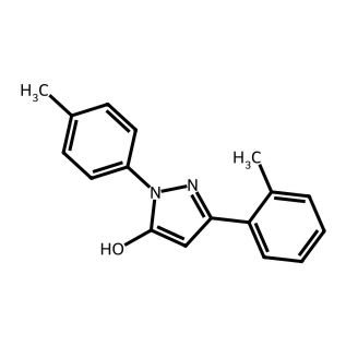 Cc1ccc(-n2nc(-c3ccccc3C)cc2O)cc1